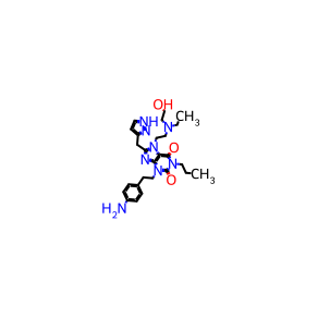 CCCn1c(=O)c2c(nc(Cc3cc[nH]n3)n2CCN(CC)CCO)n(CCc2ccc(N)cc2)c1=O